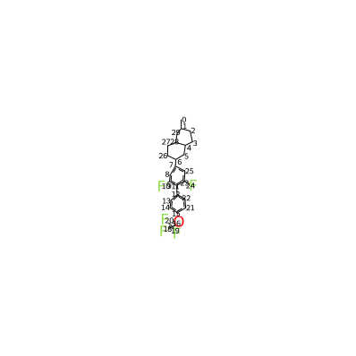 CC1CCC2CC(c3cc(F)c(-c4ccc(OC(F)(F)F)cc4)c(F)c3)CCC2C1